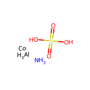 N.O=S(=O)(O)O.[AlH3].[Co]